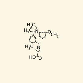 CCN(c1cccc(OC)c1)C(C)c1ccc(C)c(CN2CC(C(=O)O)C2)c1